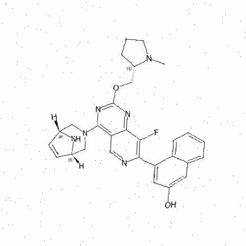 CN1CCC[C@H]1COc1nc(N2C[C@H]3C=C[C@@H](C2)N3)c2cnc(-c3cc(O)cc4ccccc34)c(F)c2n1